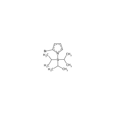 CC(C)[Si](C(C)C)(C(C)C)n1cccc1Br